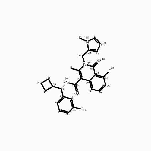 Cc1c(C(=O)N[C@H](c2cccc(F)c2)C2CCC2)c2cccc(F)c2c(=O)n1Cc1cncn1C